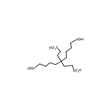 CCCCCCCCCCCCCCC(CCCCCCCCCCCCCC)(CCS(=O)(=O)O)CCS(=O)(=O)O